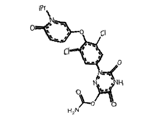 CC(C)n1cc(Oc2c(Cl)cc(-n3nc(OC(N)=O)c(=O)[nH]c3=O)cc2Cl)ccc1=O